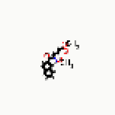 CON=C(CCCC(=O)OC)C(=O)c1ccc2ccccc2c1